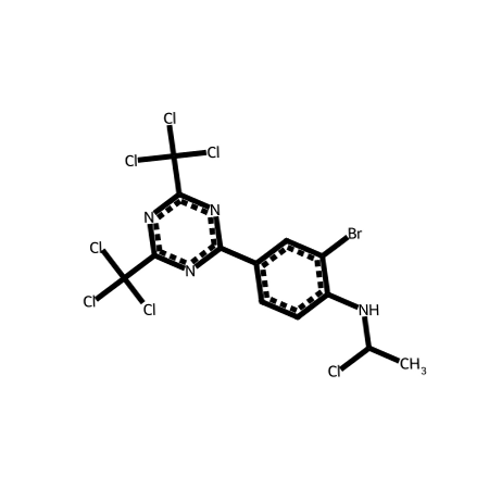 CC(Cl)Nc1ccc(-c2nc(C(Cl)(Cl)Cl)nc(C(Cl)(Cl)Cl)n2)cc1Br